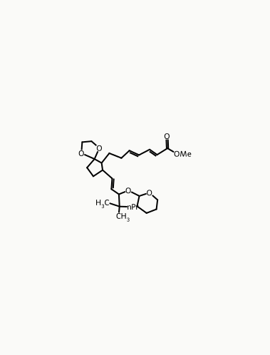 CCCC(C)(C)C(/C=C/C1CCC2(OCCO2)C1CCC=C/C=C/C(=O)OC)OC1CCCCO1